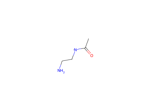 CC(=O)[N]CCN